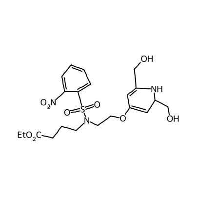 CCOC(=O)CCCN(CCOC1=CC(CO)NC(CO)=C1)S(=O)(=O)c1ccccc1[N+](=O)[O-]